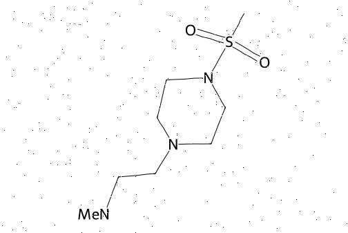 CNCCN1CCN(S(C)(=O)=O)CC1